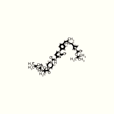 CC(Cc1ccc(-n2ccc(NC(=O)N3CCN(C(=O)C(C)(C)NC(=O)OC(C)(C)C)CC3)nc2=O)cc1)NCC1CN(C(=O)OC(C)(C)C)C1